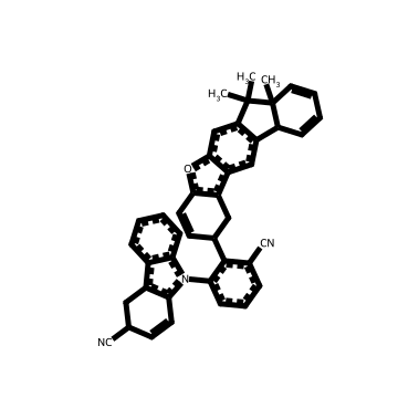 CC1(C)c2cc3oc4c(c3cc2C2C=CC=CC21C)CC(c1c(C#N)cccc1-n1c2c(c3ccccc31)CC(C#N)C=C2)C=C4